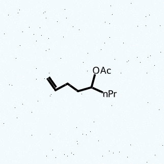 C=CCCC(CCC)OC(C)=O